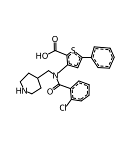 O=C(O)c1sc(-c2ccccc2)cc1N(CC1CCNCC1)C(=O)c1ccccc1Cl